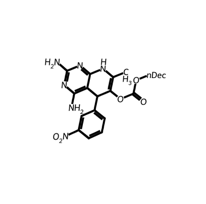 CCCCCCCCCCOC(=O)OC1=C(C)Nc2nc(N)nc(N)c2C1c1cccc([N+](=O)[O-])c1